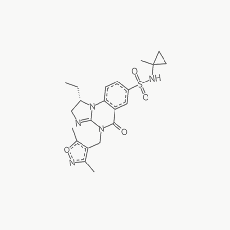 CC[C@H]1CN=C2N(Cc3c(C)noc3C)C(=O)c3cc(S(=O)(=O)NC4(C)CC4)ccc3N21